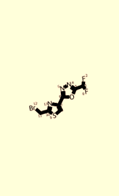 FC(F)c1nnc(-c2csc(CBr)n2)o1